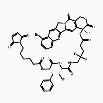 CC[C@@]1(OC(=O)CCC(F)(F)CNC(=O)[C@H](CC(C)C)NC(=O)[C@H](Cc2ccccc2)NC(=O)CCCCCN2C(=O)C=CC2=O)C(=O)OCc2c1cc1n(c2=O)Cc2cc3c(Br)cccc3nc2-1